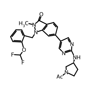 CC(=O)N1CC[C@H](Nc2ncc(-c3ccc4c(=O)n(C)n(Cc5ccccc5OC(F)F)c4c3)cn2)C1